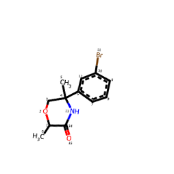 CC1OCC(C)(c2cccc(Br)c2)NC1=O